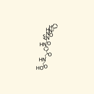 O=C(O)CCNCCC(=O)c1ccc(NC(=O)c2csc(NC(=O)NCc3ccccc3)n2)cc1